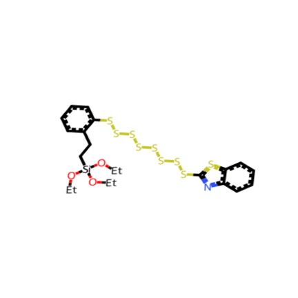 CCO[Si](CCc1ccccc1SSSSSSSSc1nc2ccccc2s1)(OCC)OCC